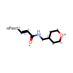 CCCCC/C=C/C(=O)NCC1CCOCC1